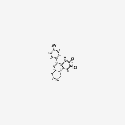 CC(C)c1ccc(C(=CC2CCOCC2)c2ccc(Cl)c(=O)[nH]2)cc1